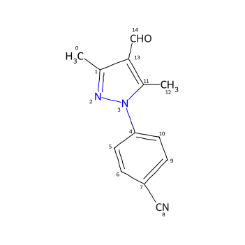 Cc1nn(-c2ccc(C#N)cc2)c(C)c1C=O